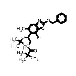 Cc1cc2nc(OCc3ccccc3)sc2c(Br)c1C(COC(=O)C(C)(C)C)OC(C)(C)C